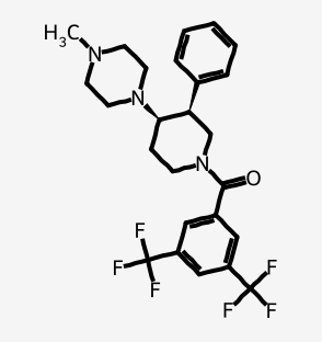 CN1CCN([C@@H]2CCN(C(=O)c3cc(C(F)(F)F)cc(C(F)(F)F)c3)C[C@@H]2c2ccccc2)CC1